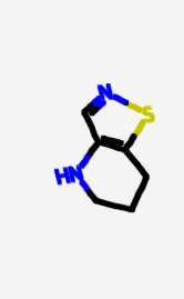 c1nsc2c1NCCC2